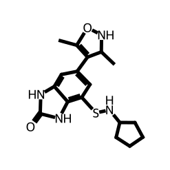 CC1=C(c2cc(SNC3CCCC3)c3[nH]c(=O)[nH]c3c2)C(C)NO1